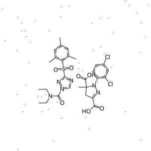 CC1(C(=O)O)CC(C(=O)O)=NN1c1ccc(Cl)cc1Cl.CCN(CC)C(=O)n1cnc(S(=O)(=O)c2c(C)cc(C)cc2C)n1